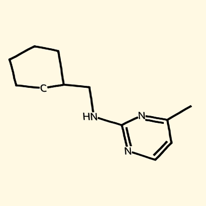 Cc1ccnc(NCC2CCCCC2)n1